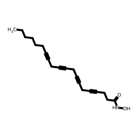 CCCCCCC#CCC#CCC#CCC#CCCC(=O)NO